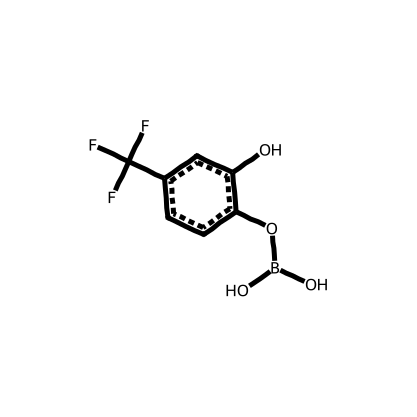 OB(O)Oc1ccc(C(F)(F)F)cc1O